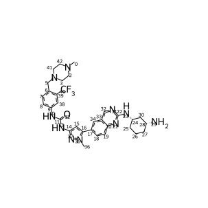 CN1CCN(Cc2ccc(NC(=O)Nc3cc(-c4ccc5nc(N[C@H]6CCC[C@@H](N)C6)ncc5c4)n(C)n3)cc2C(F)(F)F)CC1